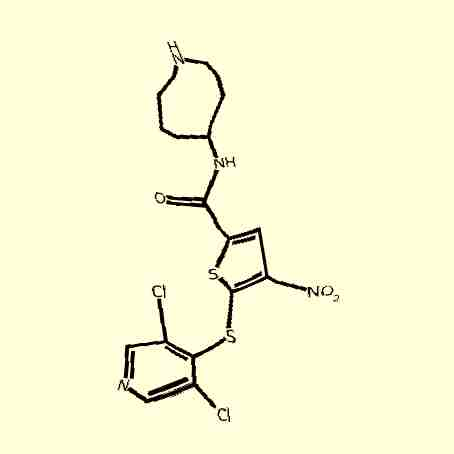 O=C(NC1CCNCC1)c1cc([N+](=O)[O-])c(Sc2c(Cl)cncc2Cl)s1